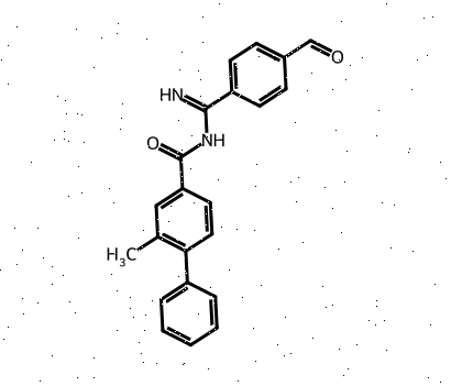 Cc1cc(C(=O)NC(=N)c2ccc(C=O)cc2)ccc1-c1ccccc1